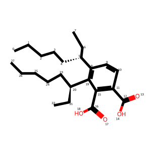 CCCCC[C@H](CC)c1ccc(C(=O)O)c(C(=O)O)c1[C@@H](CC)CCCCC